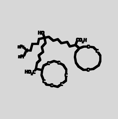 CCCN(CCC)CCCCC(O)(CCCCCCC(C(=O)O)C1CCCCCCCCCCCCCC1)CCCCCCC(C(=O)O)C1CCCCCCCCCCCCCC1